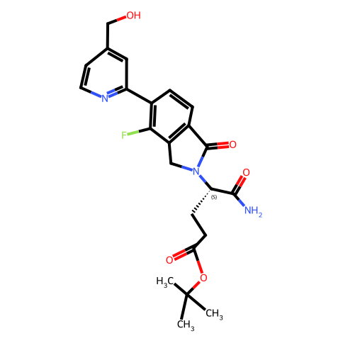 CC(C)(C)OC(=O)CC[C@@H](C(N)=O)N1Cc2c(ccc(-c3cc(CO)ccn3)c2F)C1=O